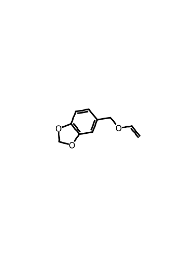 C=COCc1ccc2c(c1)OCO2